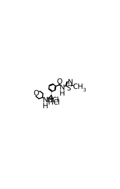 Cc1ncc(NC(=O)c2cccc([C@@H]3C[C@H]3NC3CCOCC3)c2)s1.Cl.Cl